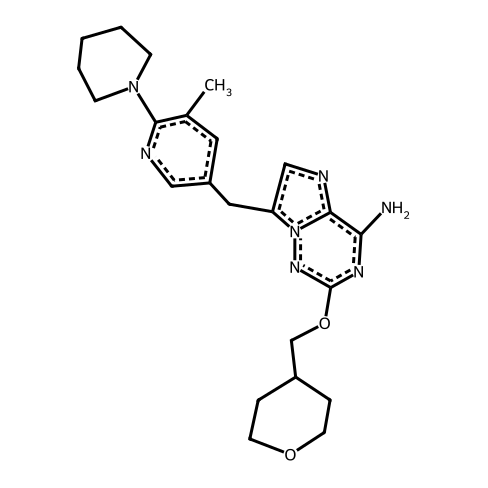 Cc1cc(Cc2cnc3c(N)nc(OCC4CCOCC4)nn23)cnc1N1CCCCC1